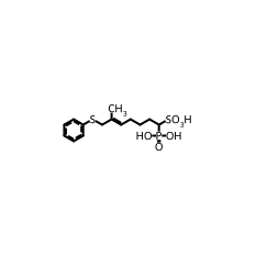 C/C(=C\CCCC(P(=O)(O)O)S(=O)(=O)O)CSc1ccccc1